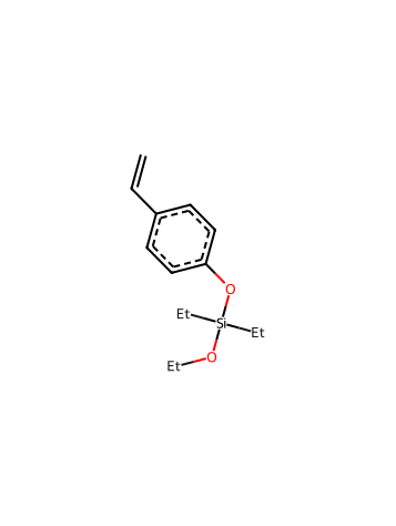 C=Cc1ccc(O[Si](CC)(CC)OCC)cc1